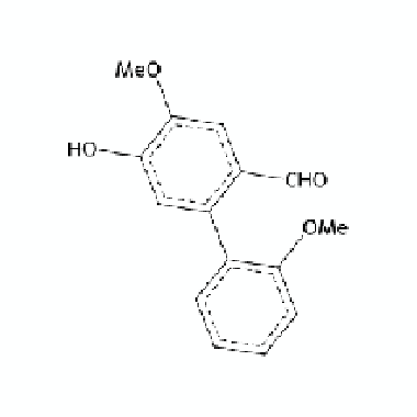 COc1cc(C=O)c(-c2ccccc2OC)cc1O